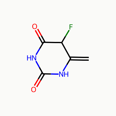 C=C1NC(=O)NC(=O)C1F